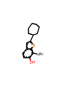 CCCCc1c(O)ccc2cc(C3CCCCCC3)sc12